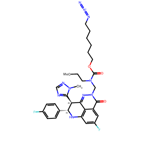 COCCN(Cn1nc2c3c(cc(F)cc3c1=O)N[C@H](c1ccc(F)cc1)[C@H]2c1ncnn1C)C(=O)OCCCCCCN=[N+]=[N-]